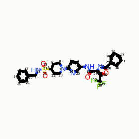 O=C(Nc1ccc(N2CCC(S(=O)(=O)NCc3ccccc3)CC2)nc1)c1nc(-c2ccccc2)oc1C(F)(F)F